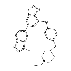 CCN1CCN(Cc2ccc(Nc3nc(-c4ccc5ncn(C)c5c4)cn4ccnc34)cc2)CC1